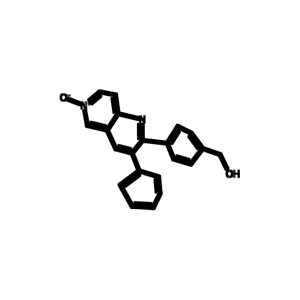 [O-][n+]1ccc2nc(-c3ccc(CO)cc3)c(-c3ccccc3)cc2c1